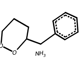 N.c1ccc(CC2CCCOO2)cc1